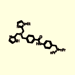 CCCN(CCC)Cc1ccc(NC(=O)c2ccc(CN(Cc3ncc[nH]3)Cc3nccn3CC)cc2)cc1